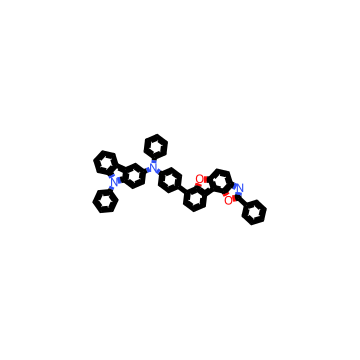 c1ccc(-c2nc3ccc4oc5c(-c6ccc(N(c7ccccc7)c7ccc8c(c7)c7ccccc7n8-c7ccccc7)cc6)cccc5c4c3o2)cc1